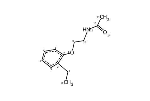 CCc1ccccc1OCCNC(C)=O